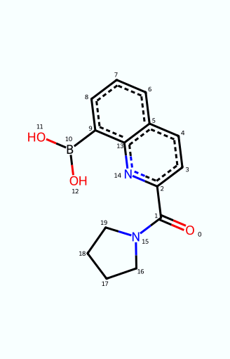 O=C(c1ccc2cccc(B(O)O)c2n1)N1CCCC1